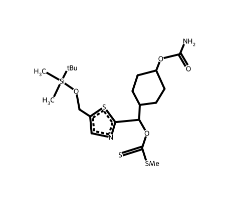 CSC(=S)OC(c1ncc(CO[Si](C)(C)C(C)(C)C)s1)C1CCC(OC(N)=O)CC1